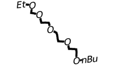 CCCCOCCOCCOCCOCOCC